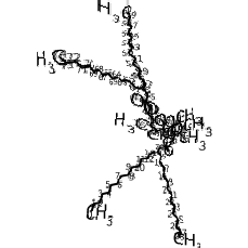 CCCCCCCCCCCCCCC(CCCCCCCCCCCCCC)CC(=O)OCC1O[C@H](O[C@H]2OC(COC(=O)CC(CCCCCCCCCCCCCC)CCCCCCCCCCCCCC)[C@@H](C)[C@H](C)C2C)C(C)[C@@H](C)[C@@H]1C